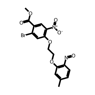 COC(=O)c1cc([N+](=O)[O-])c(OCCOc2cc(C)ccc2N=O)cc1Br